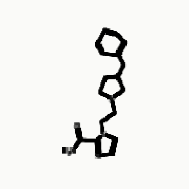 NC(=O)c1n[c]cn1CCN1CCC(Cc2ccccc2)C1